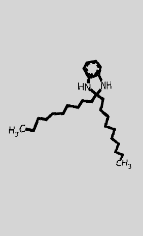 CCCCCCCCCCC1(CCCCCCCCCC)Nc2ccccc2N1